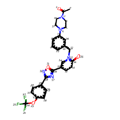 CC(=O)N1CCN(c2cccc(Cn3cc(-c4nc(-c5ccc(OC(F)(F)F)cc5)no4)ccc3=O)c2)CC1